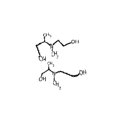 CC(CO)N(C)CCO.CC(CO)N(C)CCO